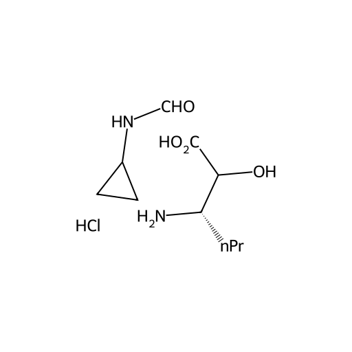 CCC[C@H](N)C(O)C(=O)O.Cl.O=CNC1CC1